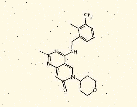 Cc1nc(NCc2cccc(C(F)(F)F)c2C)c2cn(C3CCOCC3)c(=O)cc2n1